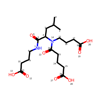 CC(C)CC(C(=O)NCCCC(=O)O)N(CCCC(=O)O)C(=O)CCCC(=O)O